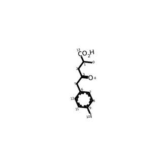 CC(CC(=O)Cc1ccc(I)cc1)C(=O)O